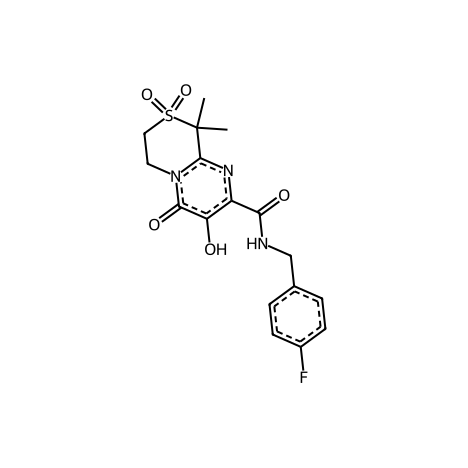 CC1(C)c2nc(C(=O)NCc3ccc(F)cc3)c(O)c(=O)n2CCS1(=O)=O